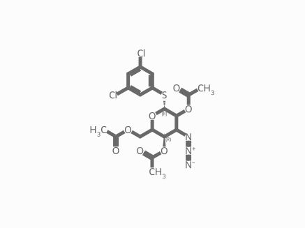 CC(=O)OCC1O[C@H](Sc2cc(Cl)cc(Cl)c2)C(OC(C)=O)C(N=[N+]=[N-])[C@H]1OC(C)=O